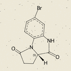 O=C1Nc2cc(Br)ccc2N2C(=O)CC[C@@H]12